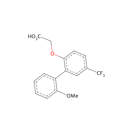 COc1ccccc1-c1cc(C(F)(F)F)ccc1OCC(=O)O